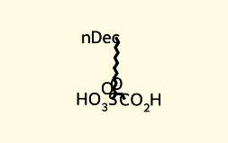 CCCCCCCCCCCCCCCCCCOC(=O)C(CC(=O)O)S(=O)(=O)O